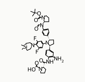 CC(C)(C)OC(=O)N1CCC[C@H]1N(C=O)c1ccc([C@@H]2CC[C@@H](c3ccc(NC(=O)[C@@H]4CCCN4C(=O)O)c(N)c3)N2c2cc(F)c(N3CC[Si](C)(C)CC3)c(F)c2)cc1